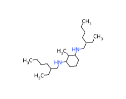 CCCCC(CC)CNC1CCCC(NCC(CC)CCCC)C1C